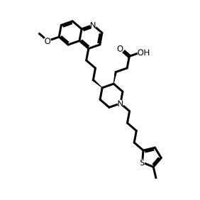 COc1ccc2nccc(CCC[C@@H]3CCN(CCCCc4ccc(C)s4)C[C@@H]3CCC(=O)O)c2c1